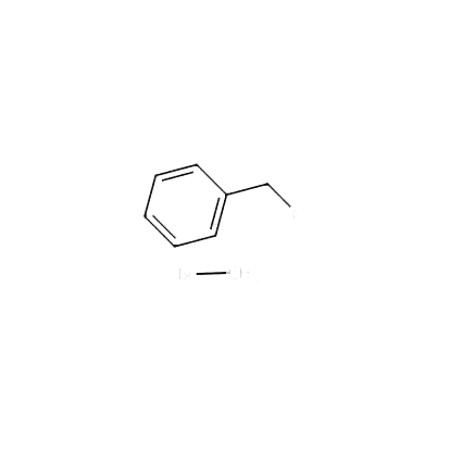 CBr.ClCc1ccccc1